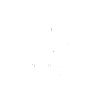 CCc1ccc2c(c1)c(-c1ccc[nH]c1=O)c(C(=O)NS(=O)(=O)C(C)C)n2Cc1cc([N+](=O)[O-])ccc1Cl